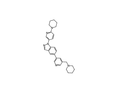 c1ncc(-c2ccc3c(cnn3-c3ccc(N4CCCCC4)nc3)c2)cc1CN1CCCCC1